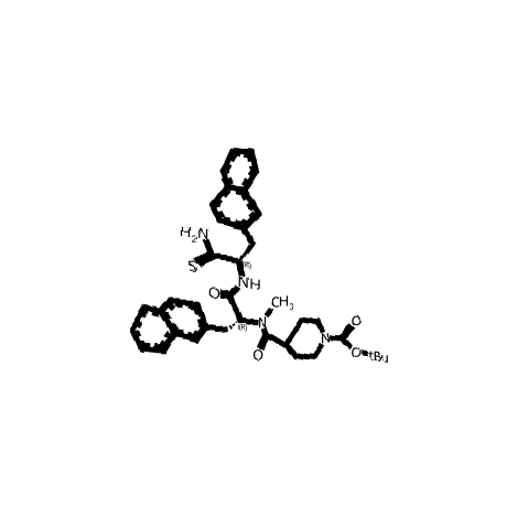 CN(C(=O)C1CCN(C(=O)OC(C)(C)C)CC1)[C@H](Cc1ccc2ccccc2c1)C(=O)N[C@H](Cc1ccc2ccccc2c1)C(N)=S